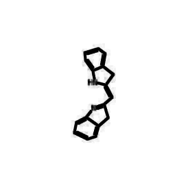 C(=C1Cc2ccccc2N1)C1=Nc2ccccc2C1